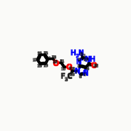 Nc1nc2c(ncn2C(OCCOCc2ccccc2)C(F)(F)F)c(=O)[nH]1